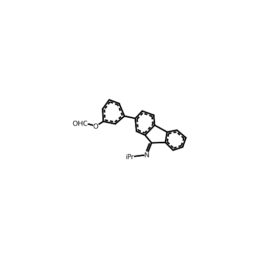 CC(C)N=C1c2ccccc2-c2ccc(-c3cccc(OC=O)c3)cc21